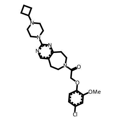 COc1cc(Cl)ccc1OCC(=O)N1CCc2cnc(N3CCN(C4CCC4)CC3)nc2CC1